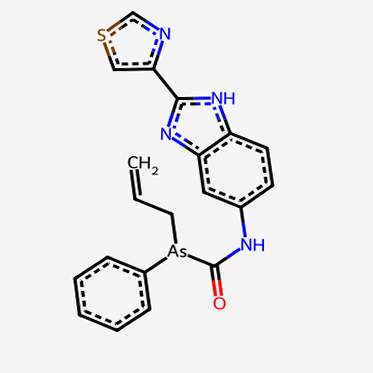 C=CC[As](C(=O)Nc1ccc2[nH]c(-c3cscn3)nc2c1)c1ccccc1